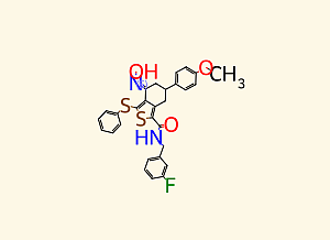 COc1ccc(C2C/C(=N\O)c3c(Sc4ccccc4)sc(C(=O)NCc4cccc(F)c4)c3C2)cc1